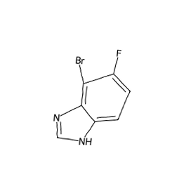 Fc1ccc2[nH]cnc2c1Br